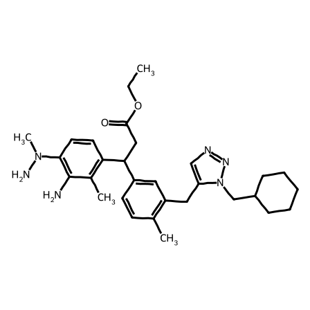 CCOC(=O)CC(c1ccc(C)c(Cc2cnnn2CC2CCCCC2)c1)c1ccc(N(C)N)c(N)c1C